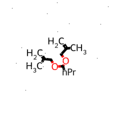 C=C(C)COC(CCC)OCC(=C)C